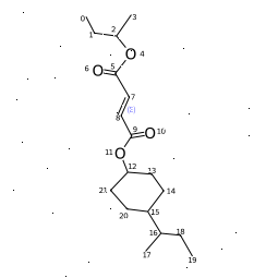 CCC(C)OC(=O)/C=C/C(=O)OC1CCC(C(C)CC)CC1